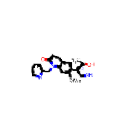 COc1cc2c(ccc(=O)n2Cc2ccccn2)cc1/C(C=N)=C(\C)O